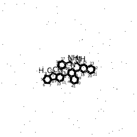 CC1(C)c2ccccc2-c2ccc(-c3ccc(-c4cc5ccccc5cc4C(=N)/N=C(\N)c4ccccc4)c4ccccc34)cc21